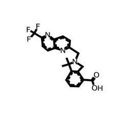 CC1(C)c2cccc(C(=O)O)c2CN1Cc1ccc2nc(C(F)(F)F)ccc2n1